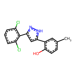 Cc1ccc(O)c(-c2cc(-c3c(Cl)cccc3Cl)n[nH]2)c1